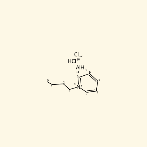 CCCC[n+]1ccccc1.Cl.[AlH3].[Cl-]